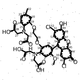 COc1cc(N(CC(=O)O)CC(=O)O)c(OCCOc2cc(C)ccc2N(CC(=O)O)CC(=O)O)cc1-c1c2cc(Cl)c(=O)cc-2oc2cc(O)c(Cl)cc12